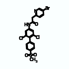 CS(=O)(=O)c1ccc(-c2c(Cl)cc(NC(=O)Cc3ccc(Br)cn3)cc2Cl)cc1